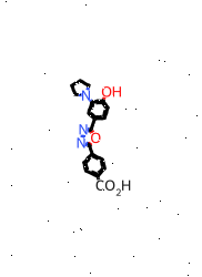 O=C(O)c1ccc(-c2nnc(-c3ccc(O)c(N4CCCC4)c3)o2)cc1